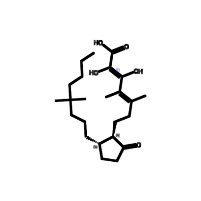 CCCCC(C)(C)CCC[C@H]1CCC(=O)[C@@H]1CCC(C)=C(C)/C(O)=C(\O)C(=O)O